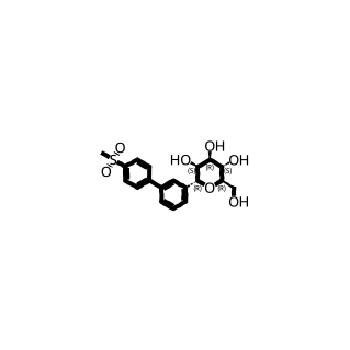 CS(=O)(=O)c1ccc(-c2cccc([C@H]3O[C@H](CO)[C@@H](O)[C@H](O)[C@@H]3O)c2)cc1